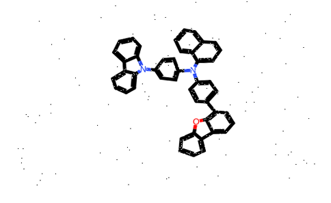 c1ccc2c(N(c3ccc(-c4cccc5c4oc4ccccc45)cc3)c3ccc(-n4c5ccccc5c5ccccc54)cc3)cccc2c1